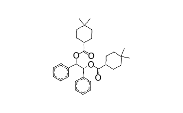 CC1(C)CCC(C(=O)OC(c2ccccc2)[C@H](OC(=O)C2CCC(C)(C)CC2)c2ccccc2)CC1